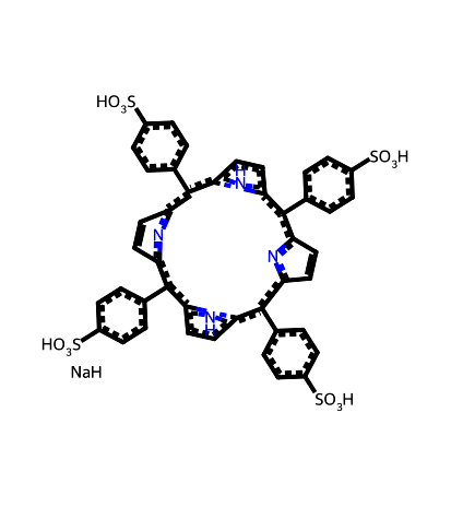 O=S(=O)(O)c1ccc(-c2c3nc(c(-c4ccc(S(=O)(=O)O)cc4)c4ccc([nH]4)c(-c4ccc(S(=O)(=O)O)cc4)c4nc(c(-c5ccc(S(=O)(=O)O)cc5)c5ccc2[nH]5)C=C4)C=C3)cc1.[NaH]